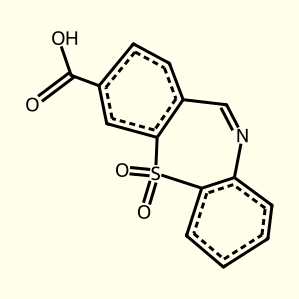 O=C(O)c1ccc2c(c1)S(=O)(=O)c1ccccc1N=C2